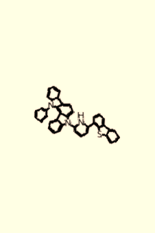 C1=CC2c3ccc4c(c3N(c3ccccc3)C2C=C1)c1ccccc1n4C1C=CC=C(c2cccc3c2sc2ccccc23)N1